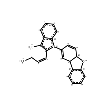 CC/C=C\c1c(C)c2ccccc2n1C1=CC2c3ccccc3OC2C=C1